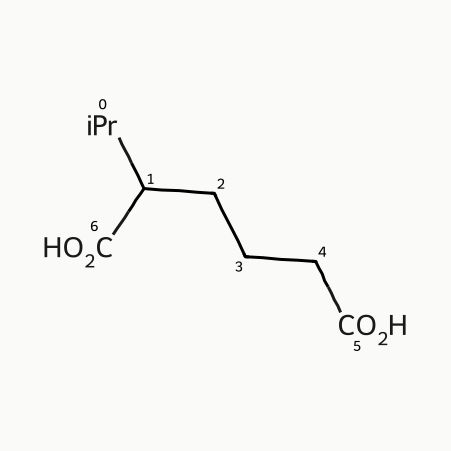 CC(C)C(CCCC(=O)O)C(=O)O